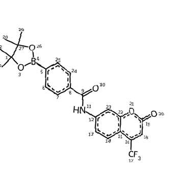 CC1(C)OB(c2ccc(C(=O)Nc3ccc4c(C(F)(F)F)cc(=O)oc4c3)cc2)OC1(C)C